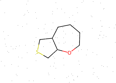 C1CCC2CSCC2OC1